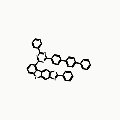 c1ccc(-c2ccc(-c3ccc(-c4nc(-c5ccccc5)nc(-c5cccc6oc7cc8nc(-c9ccccc9)oc8cc7c56)n4)cc3)cc2)cc1